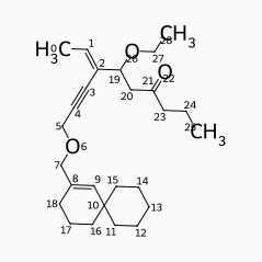 C/C=C(\C#CCOCC1=CC2(CCCCC2)CCC1)C(CC(=O)CCC)OCC